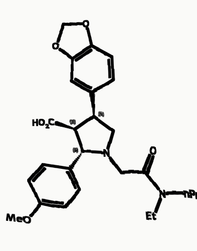 CCCN(CC)C(=O)CN1C[C@H](c2ccc3c(c2)OCO3)[C@H](C(=O)O)[C@H]1c1ccc(OC)cc1